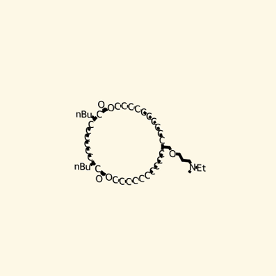 CCCCC1CCCCCCC(CCCC)CC(=O)OCCCCCCCCCCC(COCCCN(C)CC)CCCCCCCCCCOC(=O)C1